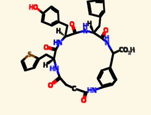 O=C1CCC(=O)N[C@H](Cc2cccs2)C(=O)N[C@@H](Cc2ccc(O)cc2)C(=O)N[C@H](Cc2ccccc2)C(=O)NC(C(=O)O)c2ccc(cc2)N1